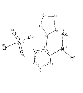 CC(=O)N(C(C)=O)c1ccccc1C1CCCC1.O=S(=O)(Cl)Cl